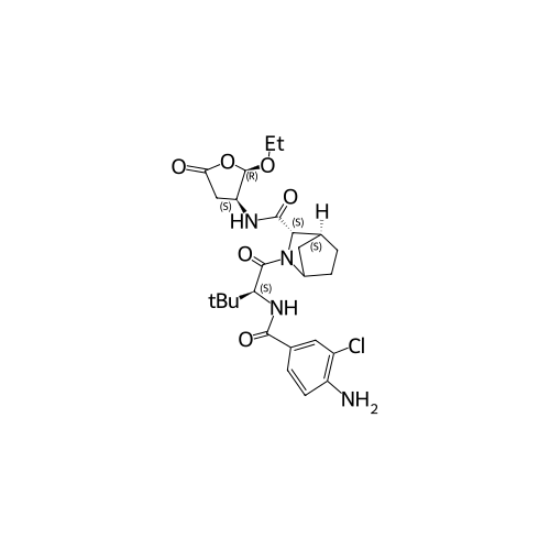 CCO[C@@H]1OC(=O)C[C@@H]1NC(=O)[C@@H]1[C@H]2CCC(C2)N1C(=O)[C@@H](NC(=O)c1ccc(N)c(Cl)c1)C(C)(C)C